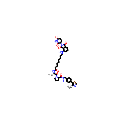 Cc1ncsc1-c1ccc(CNC(=O)C2CCCN2C(=O)[C@@H](NC(=O)CCCCCCCCNc2cccc3c2C(=O)N(C2CCC(=O)NC2=O)C3=O)C(C)(C)C)cc1